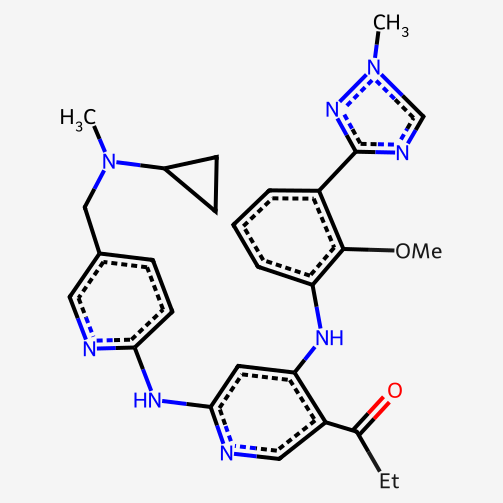 CCC(=O)c1cnc(Nc2ccc(CN(C)C3CC3)cn2)cc1Nc1cccc(-c2ncn(C)n2)c1OC